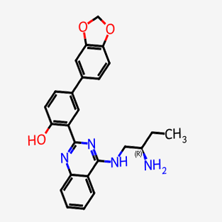 CC[C@@H](N)CNc1nc(-c2cc(-c3ccc4c(c3)OCO4)ccc2O)nc2ccccc12